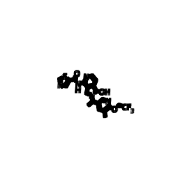 Cc1cc(C(C)N2Cc3c(ccnc3NC(=O)c3cncs3)C2O)cnc1OCC(F)(F)F